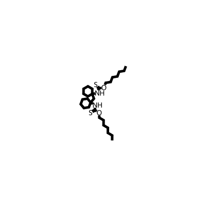 CCCCCCCOC(=S)NC1(CC2(NC(=S)OCCCCCCC)CCCCC2)CCCCC1